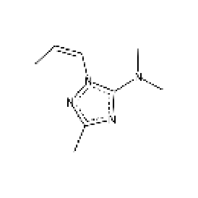 C/C=C\n1nc(C)nc1N(C)C